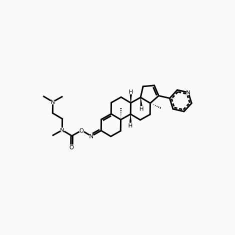 CN(C)CCN(C)C(=O)ON=C1C=C2CC[C@H]3[C@H](CC[C@]4(C)C(c5cccnc5)=CC[C@@H]34)[C@@]2(C)CC1